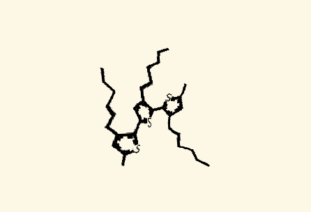 CCCCCCc1cc(C)sc1-c1cc(CCCCCC)c(-c2sc(C)cc2CCCCCC)s1